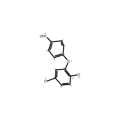 O=Cc1ccc(Oc2cc(Cl)ccc2Cl)cc1